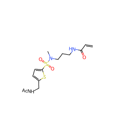 C=CC(=O)NCCCN(C)S(=O)(=O)c1ccc(CNC(C)=O)s1